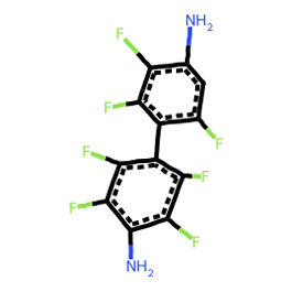 Nc1cc(F)c(-c2c(F)c(F)c(N)c(F)c2F)c(F)c1F